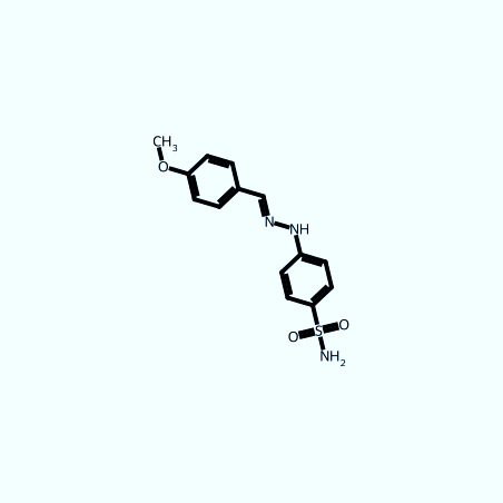 COc1ccc(/C=N/Nc2ccc(S(N)(=O)=O)cc2)cc1